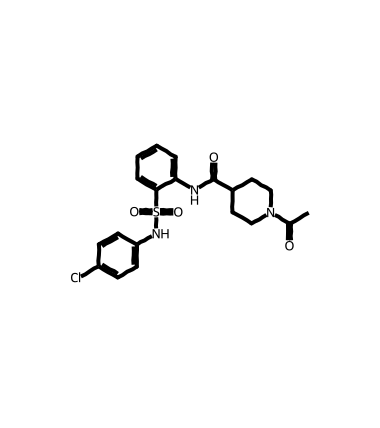 CC(=O)N1CCC(C(=O)Nc2ccccc2S(=O)(=O)Nc2ccc(Cl)cc2)CC1